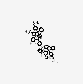 C=Cc1ccc(C2(C3=C(C)CCC(C)=C3)c3ccccc3-c3ccc(N(c4ccc(N(c5ccc6c(c5)C(c5ccc(C=C)cc5)(c5cc(C)ccc5C)c5ccccc5-6)c5cccc(F)c5F)cc4)c4cccc(F)c4F)cc32)cc1